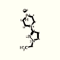 CCn1ccc(N2CC[PH](=O)CC2)n1